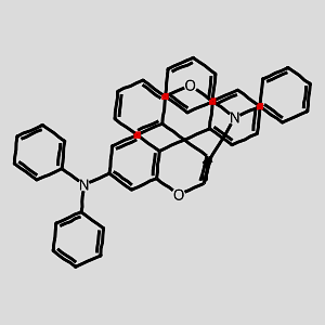 c1ccc(N(c2ccccc2)c2ccc3c(c2)Oc2cccc(N(c4ccccc4)c4ccccc4)c2C32c3ccccc3Oc3ccccc32)cc1